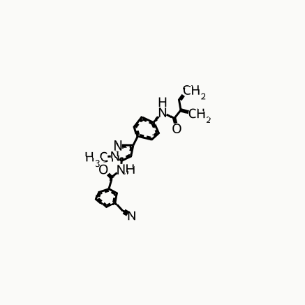 C=CC(=C)C(=O)Nc1ccc(-c2cc(NC(=O)c3cccc(C#N)c3)n(C)n2)cc1